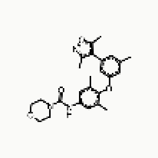 Cc1cc(Oc2c(C)cc(NC(=O)N3CCOCC3)cc2C)cc(-c2c(C)noc2C)c1